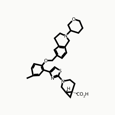 Cc1ccc(OCc2ccc3c(c2)CCN(C2CCCOC2)C3)c(-c2csc(N3CC[C@@]4(C(=O)O)C[C@H]4C3)n2)c1